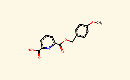 COc1ccc(COC(=O)c2cccc(C(=O)O)n2)cc1